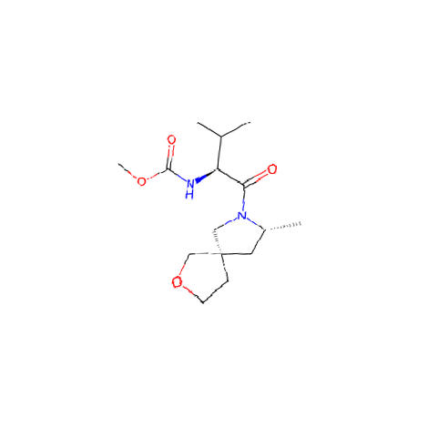 COC(=O)N[C@H](C(=O)N1C[C@@]2(CCOC2)C[C@H]1C)C(C)C